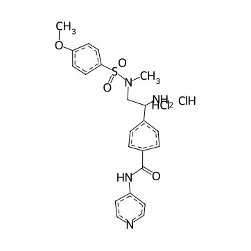 COc1ccc(S(=O)(=O)N(C)CC(N)c2ccc(C(=O)Nc3ccncc3)cc2)cc1.Cl.Cl